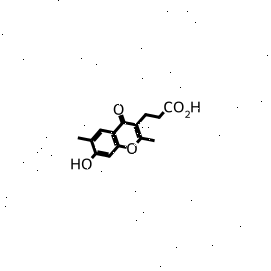 Cc1cc2c(=O)c(CCC(=O)O)c(C)oc2cc1O